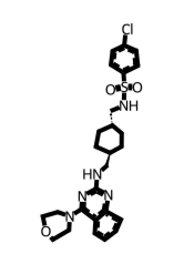 O=S(=O)(NC[C@H]1CC[C@H](CNc2nc(N3CCOCC3)c3ccccc3n2)CC1)c1ccc(Cl)cc1